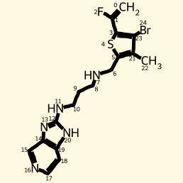 C=C(F)c1sc(CNCCCNc2nc3cnccc3[nH]2)c(C)c1Br